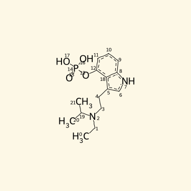 CCN(CCc1c[nH]c2cccc(OP(=O)(O)O)c12)C(C)C